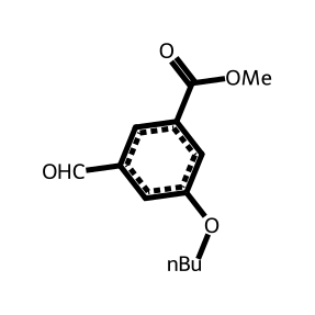 CCCCOc1cc(C=O)cc(C(=O)OC)c1